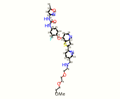 COCCOCCOCCNCc1ccc(-c2cc3nccc(Oc4ccc(NC(=O)Nc5cc(C)on5)cc4F)c3s2)nc1